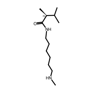 CNCCCCCCNC(=O)[C@@H](C)C(C)C